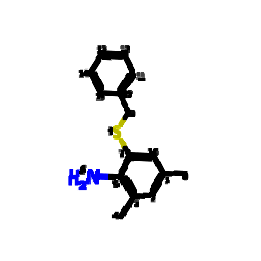 Cc1cc(C)c(N)c(SCc2ccccc2)c1